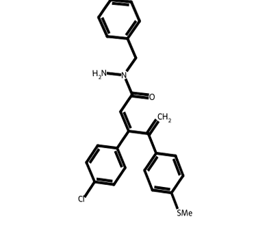 C=C(/C(=C\C(=O)N(N)Cc1ccccc1)c1ccc(Cl)cc1)c1ccc(SC)cc1